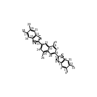 Cc1cc2nc(-c3cc(C)c4cc(-c5nc6cc(C)c(C)cc6s5)cc(C)c4c3)sc2cc1C